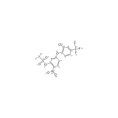 CC(C)S(=O)(=O)Oc1cc(Oc2ccc(C(F)(F)F)cc2Cl)ccc1[N+](=O)[O-]